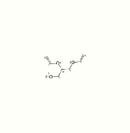 C=COCC(CO)OC=C